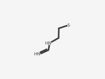 N=CNCC[S]